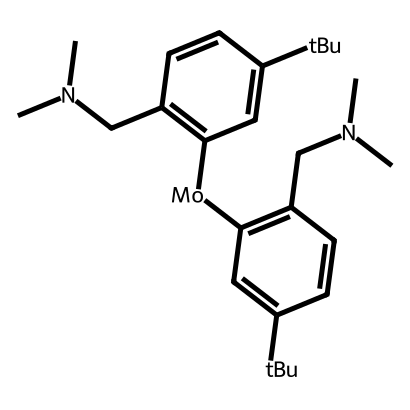 CN(C)Cc1ccc(C(C)(C)C)c[c]1[Mo][c]1cc(C(C)(C)C)ccc1CN(C)C